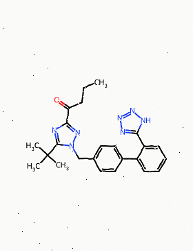 CCCC(=O)c1nc(C(C)(C)C)n(Cc2ccc(-c3ccccc3-c3nnn[nH]3)cc2)n1